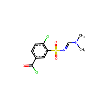 CN(C)C=NS(=O)(=O)c1cc(C(=O)Cl)ccc1Cl